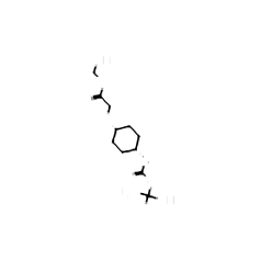 CCOC(=O)CO[C@H]1CC[C@@H](NC(=O)OC(C)(C)C)CC1